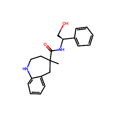 CC1(C(=O)N[C@@H](CO)c2ccccc2)CCNc2ccccc2C1